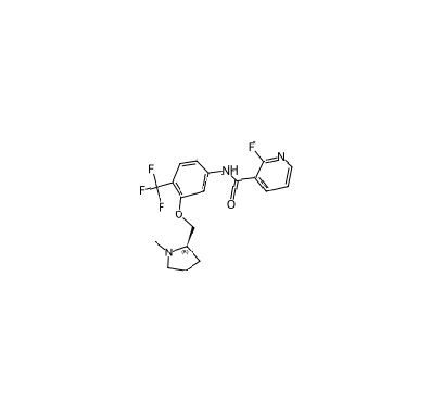 CN1CCC[C@@H]1COc1cc(NC(=O)c2cccnc2F)ccc1C(F)(F)F